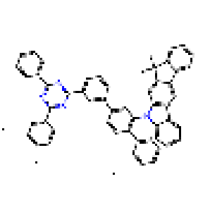 CC1(C)c2ccccc2-c2cc3c4ccccc4n(-c4cc(-c5cccc(-c6nc(-c7ccccc7)nc(-c7ccccc7)n6)c5)ccc4-c4ccccc4)c3cc21